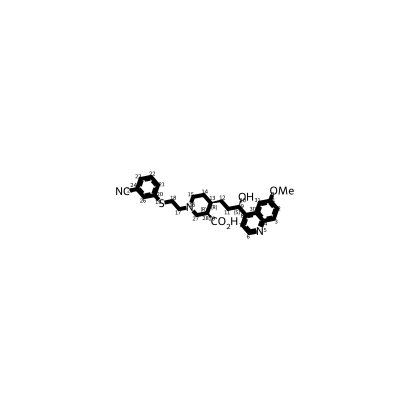 COc1ccc2nccc([C@@H](O)CC[C@@H]3CCN(CCSc4cccc(C#N)c4)C[C@@H]3C(=O)O)c2c1